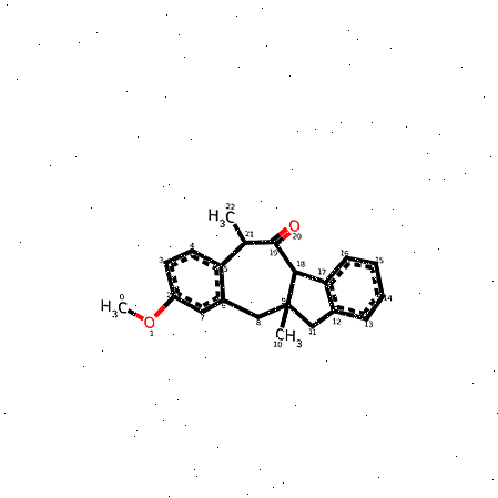 COc1ccc2c(c1)CC1(C)Cc3ccccc3C1C(=O)C2C